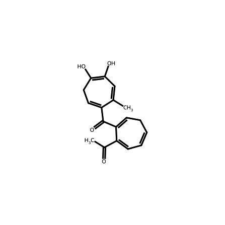 CC(=O)C1=CC=CCC=C1C(=O)C1=CCC(O)=C(O)C=C1C